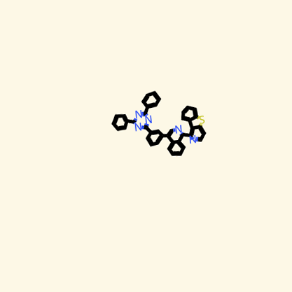 c1ccc(-c2nc(-c3ccccc3)nc(-c3cccc(-c4cnc(-c5nccc6sc7ccccc7c56)c5ccccc45)c3)n2)cc1